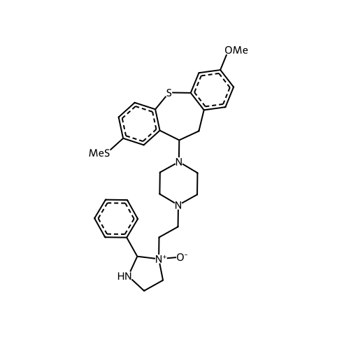 COc1ccc2c(c1)Sc1ccc(SC)cc1C(N1CCN(CC[N+]3([O-])CCNC3c3ccccc3)CC1)C2